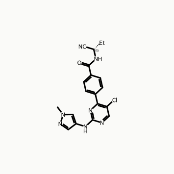 CC[C@@H](C#N)NC(=O)c1ccc(-c2nc(Nc3cnn(C)c3)ncc2Cl)cc1